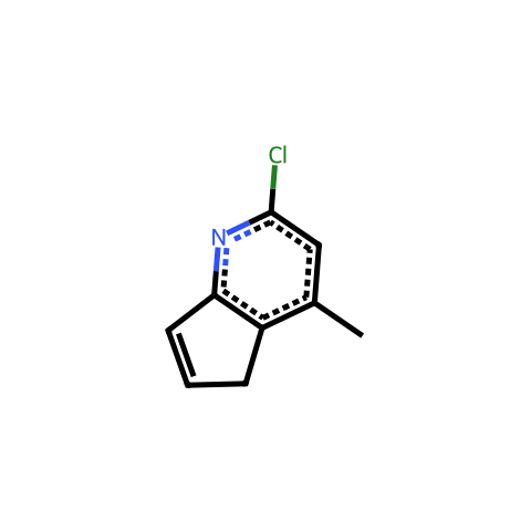 Cc1cc(Cl)nc2c1CC=C2